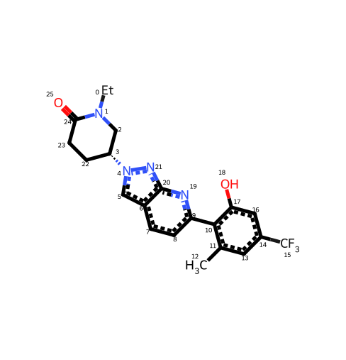 CCN1C[C@H](n2cc3ccc(-c4c(C)cc(C(F)(F)F)cc4O)nc3n2)CCC1=O